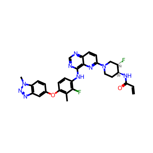 C=CC(=O)N[C@H]1CCN(c2ccc3ncnc(Nc4ccc(Oc5ccc6c(c5)nnn6C)c(C)c4F)c3n2)C[C@@H]1F